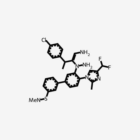 CNSc1cccc(-c2ccc(-n3cc(C(F)F)nc3C)c(N(N)/C(=C\N)C(C)c3ccc(Cl)cc3)c2)c1